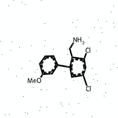 COc1cccc(-c2cc(Cl)cc(Cl)c2CN)c1